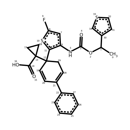 CC(OC(=O)Nc1cc(F)sc1C1(C2(C(=O)O)CC2)C=CC(c2ccccc2)=CC1)c1ccsc1